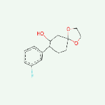 OC1CC2(CCC1c1cccc(F)c1)OCCO2